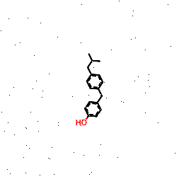 CC(C)Cc1ccc(Cc2ccc(O)cc2)cc1